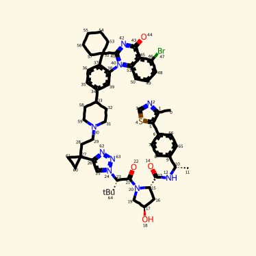 Cc1ncsc1-c1ccc([C@H](C)NC(=O)[C@@H]2C[C@@H](O)CN2C(=O)[C@@H](n2cc(C3(CCN4CCC(c5ccc6c(c5)-n5c(nc(=O)c7c(Br)cccc75)C65CCCCC5)CC4)CC3)nn2)C(C)(C)C)cc1